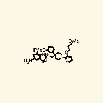 COCCCOc1cccnc1N1CCC(CNC(=O)Nc2c(C(C)C)cc(N)cc2C(C)C)(c2cccc(OC)c2)CC1